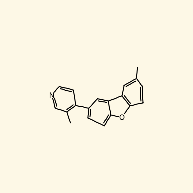 Cc1ccc2oc3ccc(-c4ccncc4C)cc3c2c1